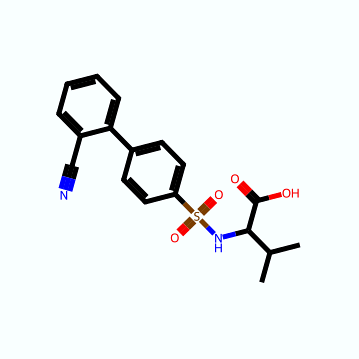 CC(C)C(NS(=O)(=O)c1ccc(-c2ccccc2C#N)cc1)C(=O)O